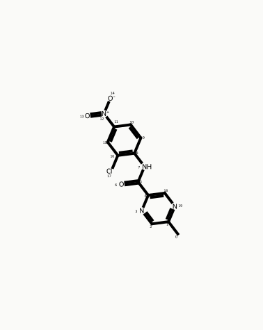 Cc1cnc(C(=O)Nc2ccc([N+](=O)[O-])cc2Cl)cn1